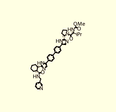 COC(=O)N[C@H](C(=O)N1CCC[C@H]1c1ncc(-c2ccc(-c3ccc(-c4cnc([C@@H]5CCCC[C@@H]5C(=O)NCc5cccnc5)[nH]4)cc3)cc2)[nH]1)C(C)C